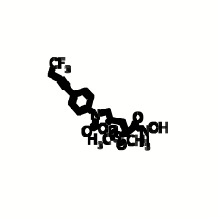 CC(CC1CN(c2ccc(C#CCC(F)(F)F)cc2)C(=O)O1)(C(=O)NO)S(C)(=O)=O